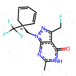 Cc1nc2c(c(CF)nn2C[C@]2(C(F)(F)F)C=CC=CC2)c(=O)[nH]1